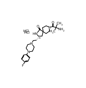 CC(C)(N)C(=O)N1CCC2(CC1)C[C@H](CCN1CCN(c3ccc(F)cc3)CC1)NC2=O.Cl.Cl